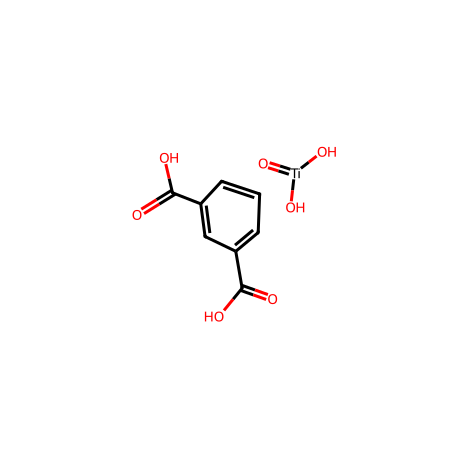 O=C(O)c1cccc(C(=O)O)c1.[O]=[Ti]([OH])[OH]